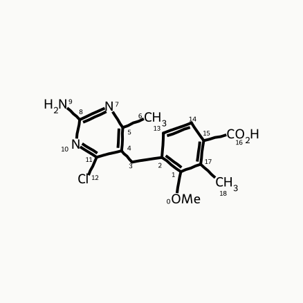 COc1c(Cc2c(C)nc(N)nc2Cl)ccc(C(=O)O)c1C